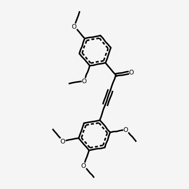 COc1ccc(C(=O)C#Cc2cc(OC)c(OC)cc2OC)c(OC)c1